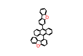 C1=c2c(-c3ccc4c(c3)oc3ccccc34)c3ccccc3c(-c3cccc4oc5ccccc5c34)c2=CCC1